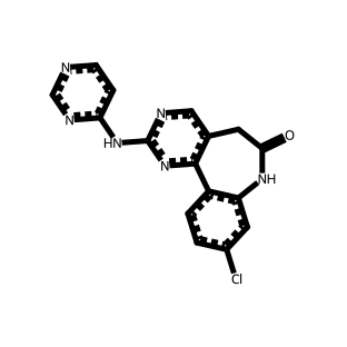 O=C1Cc2cnc(Nc3ccncn3)nc2-c2ccc(Cl)cc2N1